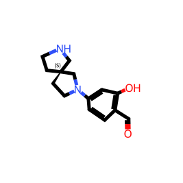 O=Cc1ccc(N2CC[C@]3(CCNC3)C2)cc1O